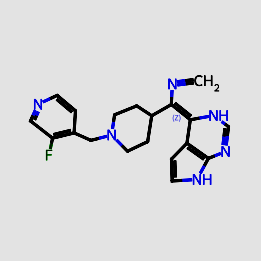 C=N/C(=C1\NC=Nc2[nH]ccc21)C1CCN(Cc2ccncc2F)CC1